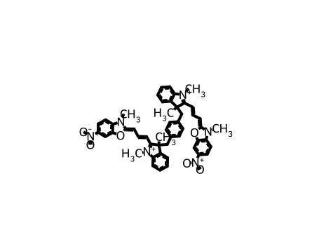 CN1/C(=C/C=C/C2=[N+](C)c3ccccc3C2(C)Cc2ccc(CC3(C)C(/C=C/C=C4\Oc5cc([N+](=O)[O-])ccc5N4C)=[N+](C)c4ccccc43)cc2)Oc2cc([N+](=O)[O-])ccc21